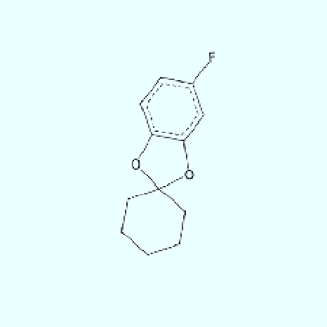 Fc1ccc2c(c1)OC1(CCCCC1)O2